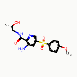 C[C@H](O)CNC(=O)c1ncc(S(=O)(=O)c2ccc(OC(F)(F)F)cc2)cc1N